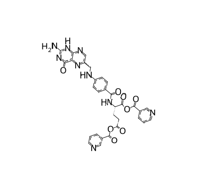 Nc1nc(=O)c2nc(CNc3ccc(C(=O)N[C@@H](CCC(=O)OC(=O)c4cccnc4)C(=O)OC(=O)c4cccnc4)cc3)cnc2[nH]1